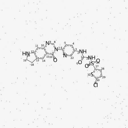 O=C(Nc1ccc(-n2cnc3cc4c(cc3c2=O)CCN4)nc1)NS(=O)(=O)c1ccc(Cl)s1